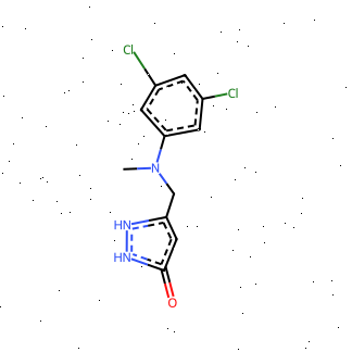 CN(Cc1cc(=O)[nH][nH]1)c1cc(Cl)cc(Cl)c1